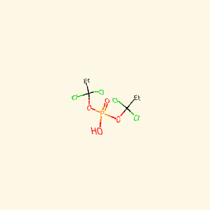 CCC(Cl)(Cl)OP(=O)(O)OC(Cl)(Cl)CC